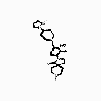 C[C@H]1CCCN1C1CCN(c2ccc(N3CCC4(CCNCC4)C3=O)c(F)c2)CC1.Cl